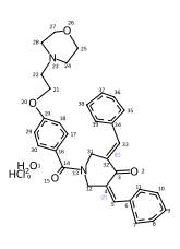 Cl.O.O=C1/C(=C\c2ccccc2)CN(C(=O)c2ccc(OCCN3CCOCC3)cc2)C/C1=C\c1ccccc1